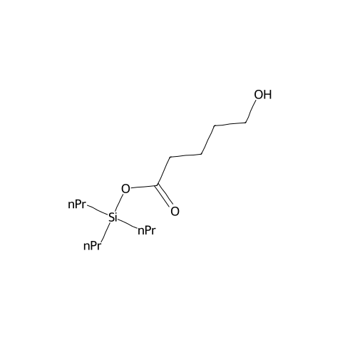 CCC[Si](CCC)(CCC)OC(=O)CCCCO